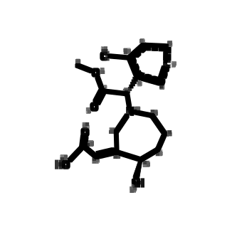 COC(=O)[C@H](c1ccccc1Cl)N1CCC[C@@H](S)/C(=C/C(=O)O)C1